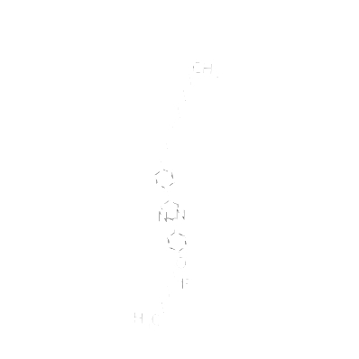 CCCCCCCCCCCCc1ccc(-c2cnc(-c3ccc(OCC(F)CCCCC)cc3)nc2)cc1